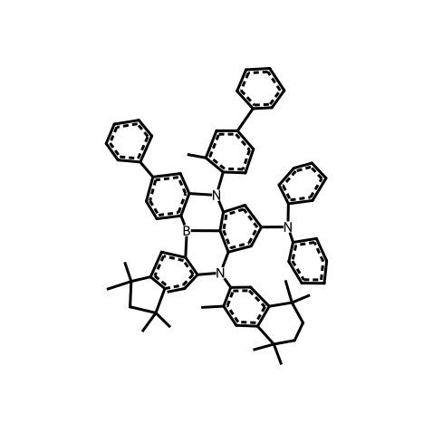 Cc1cc(-c2ccccc2)ccc1N1c2cc(-c3ccccc3)ccc2B2c3cc4c(cc3N(c3cc5c(cc3C)C(C)(C)CCC5(C)C)c3cc(N(c5ccccc5)c5ccccc5)cc1c32)C(C)(C)CC4(C)C